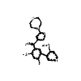 COc1ccncc1-c1cc(C(=N)c2ccnc(N3CCOCC3)c2)c(N)cc1F